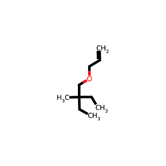 C=CCOCC(C)(CC)CC